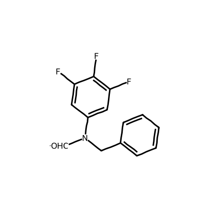 O=[C]N(Cc1ccccc1)c1cc(F)c(F)c(F)c1